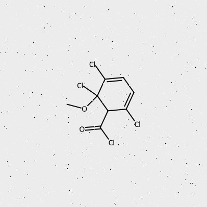 COC1(Cl)C(Cl)=CC=C(Cl)C1C(=O)Cl